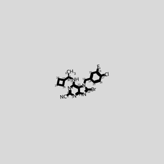 C[C@@H](Nc1nc(C#N)nc2nc(Br)n(Cc3ccc(Cl)c(F)c3)c12)C1CCC1